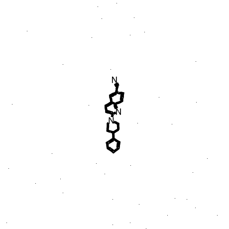 N#Cc1ccc2nc(N3CCC(c4ccccc4)CC3)ccc2c1